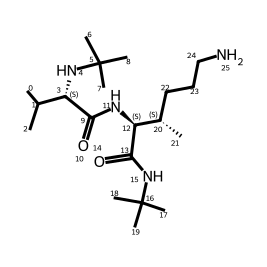 CC(C)[C@H](NC(C)(C)C)C(=O)N[C@H](C(=O)NC(C)(C)C)[C@@H](C)CCCN